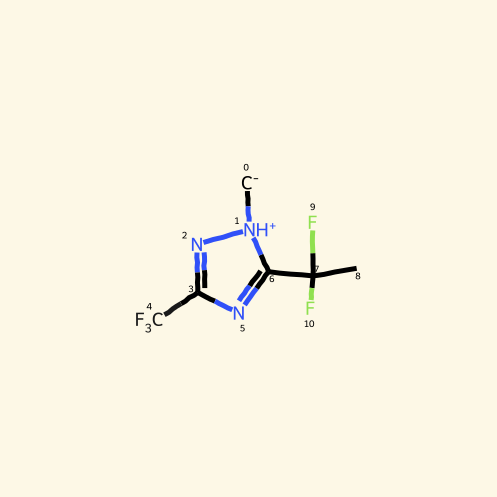 [CH2-][NH+]1N=C(C(F)(F)F)N=C1C(C)(F)F